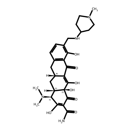 CN1CCC(NCc2ccc3c(c2O)C(=O)C2=C(O)[C@]4(O)C(=O)C(C(N)=O)=C(O)[C@@H](N(C)C)[C@@H]4C[C@@H]2C3)CC1